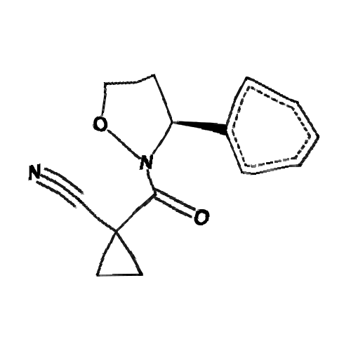 N#CC1(C(=O)N2OCC[C@H]2c2ccccc2)CC1